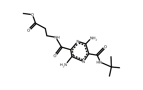 COC(=O)CCNC(=O)c1nc(N)c(C(=O)NC(C)(C)C)nc1N